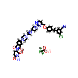 CC(C)(c1ccc(OCc2ccnc(N3CCC(N4CC(N5CCN(c6ccc7c(c6)C(=O)N(C6CCC(=O)NC6=O)C7=O)CC5)C4)CC3)n2)cc1)c1cc(Cl)cc(C#N)c1.O=C(O)C(F)(F)F